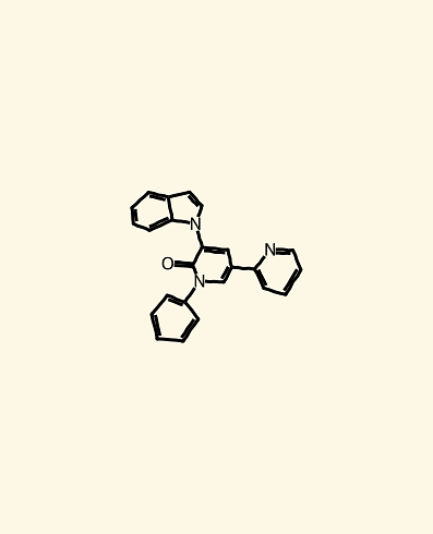 O=c1c(-n2ccc3ccccc32)cc(-c2ccccn2)cn1-c1ccccc1